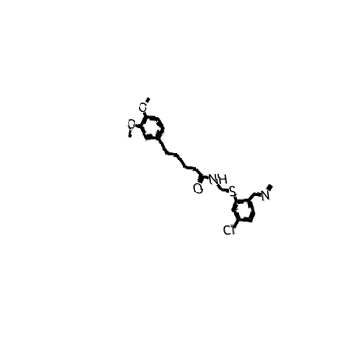 C=NCc1ccc(Cl)cc1SCNC(=O)CCCCc1ccc(OC)c(OC)c1